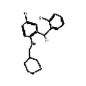 OC(c1ccccc1Cl)c1cc(Cl)ccc1NCC1CCCCC1